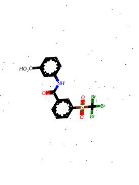 O=C(O)c1cccc(NC(=O)c2cccc(S(=O)(=O)C(Br)(Br)Br)c2)c1